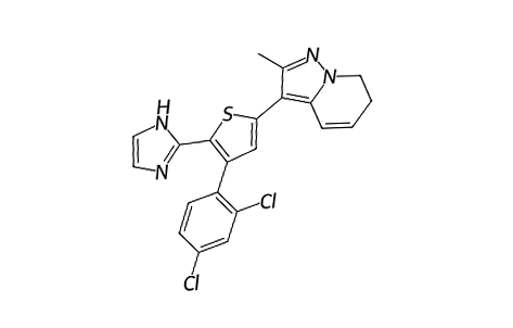 Cc1nn2c(c1-c1cc(-c3ccc(Cl)cc3Cl)c(-c3ncc[nH]3)s1)C=CCC2